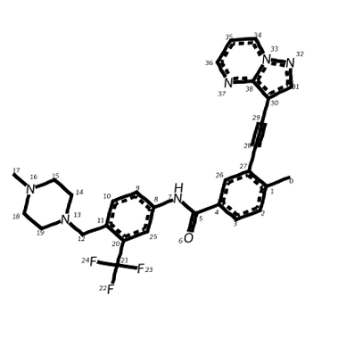 Cc1ccc(C(=O)Nc2ccc(CN3CCN(C)CC3)c(C(F)(F)F)c2)cc1C#Cc1cnn2cccnc12